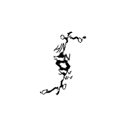 CCN(CCOC)C(=O)CNc1nc2cc3nc(NCC(=O)N(CC)CCOC)sc3cc2s1